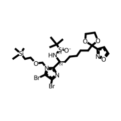 CC(C)(C)[S@@+]([O-])N[C@@H](CCCCCC1(c2ccon2)OCCO1)c1nc(Br)c(Br)n1COCC[Si](C)(C)C